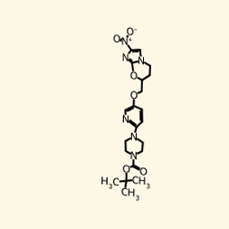 CC(C)(C)OC(=O)N1CCN(c2ccc(OCC3CCn4cc([N+](=O)[O-])nc4O3)cn2)CC1